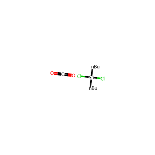 CCC[CH2][Sn]([Cl])([Cl])[CH2]CCC.O=C=O